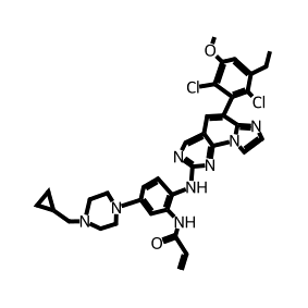 C=CC(=O)Nc1cc(N2CCN(CC3CC3)CC2)ccc1Nc1ncc2cc(-c3c(Cl)c(CC)cc(OC)c3Cl)c3nccn3c2n1